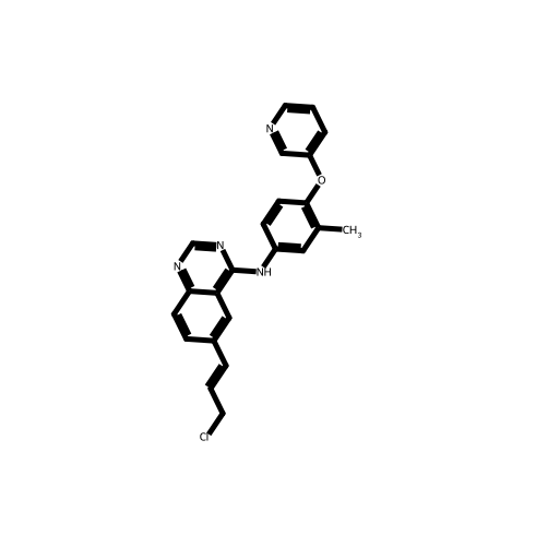 Cc1cc(Nc2ncnc3ccc(C=CCCl)cc23)ccc1Oc1cccnc1